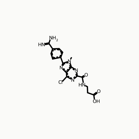 Cn1c(-c2ccc(C(=N)N)cc2)nc2c(Cl)nc(C(=O)NCCC(=O)O)nc21